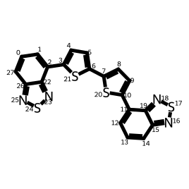 c1cc(-c2ccc(-c3ccc(-c4cccc5nsnc45)s3)s2)c2nsnc2c1